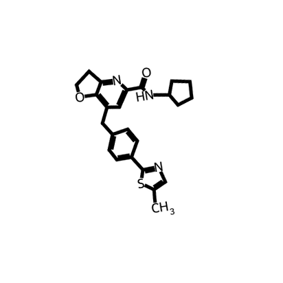 Cc1cnc(-c2ccc(Cc3cc(C(=O)NC4CCCC4)nc4c3OCC4)cc2)s1